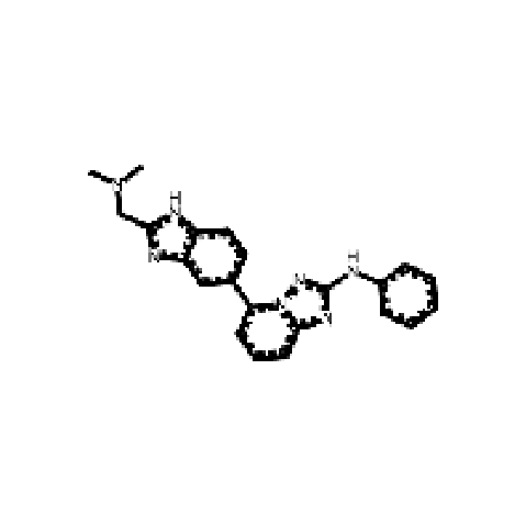 CN(C)Cc1nc2cc(-c3cccc4nc(Nc5ccccc5)nn34)ccc2[nH]1